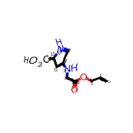 C=CCOC(=O)CNC1CNC(C(=O)O)C1